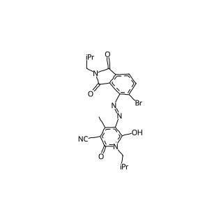 Cc1c(N=Nc2c(Br)ccc3c2C(=O)N(CC(C)C)C3=O)c(O)n(CC(C)C)c(=O)c1C#N